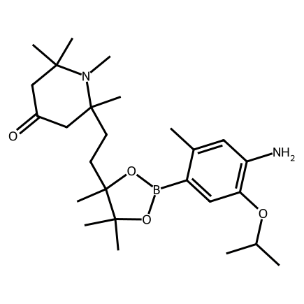 Cc1cc(N)c(OC(C)C)cc1B1OC(C)(C)C(C)(CCC2(C)CC(=O)CC(C)(C)N2C)O1